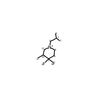 CC(C)CN1CCC(F)(F)C(C)C1